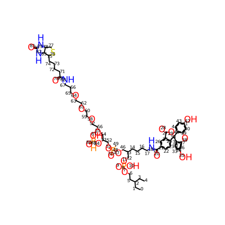 CCC(CC)CCOP(=O)(O)OCC(CCCCNC(=O)c1ccc2c(c1)C(=O)OC21c2ccc(O)cc2Oc2cc(O)ccc21)COP(C)(=O)OCC(COCCOCCOCCOCCCNC(=O)CCCCC1SCC2NC(=O)NC21)O[PH](=O)O